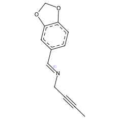 CC#CC/N=C/c1ccc2c(c1)OCO2